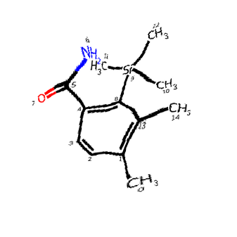 Cc1ccc(C(N)=O)c([Si](C)(C)C)c1C